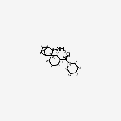 N[C@@H]1C2CCC(C2)[C@]12CCCC(C(=O)N1CCCCC1)C2